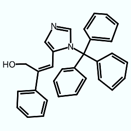 OCC(=Cc1cncn1C(c1ccccc1)(c1ccccc1)c1ccccc1)c1ccccc1